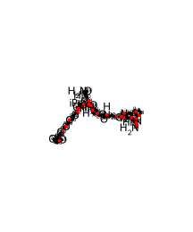 Cc1cccc(-c2nc(CN)[nH]c2-c2ccc3ncc(OCCCCNC(=O)OCc4ccc(NC(=O)C(CCCNC(N)=O)NC(=O)[C@@H](NC(=O)CCOCCOCCOCCOCCN5C(=O)C=CC5=O)C(C)C)cc4)nc3c2)n1